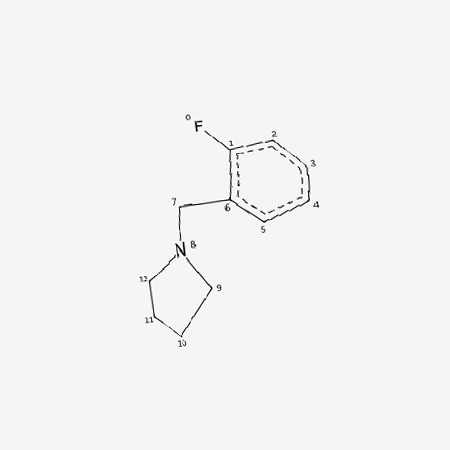 Fc1ccccc1CN1CCCC1